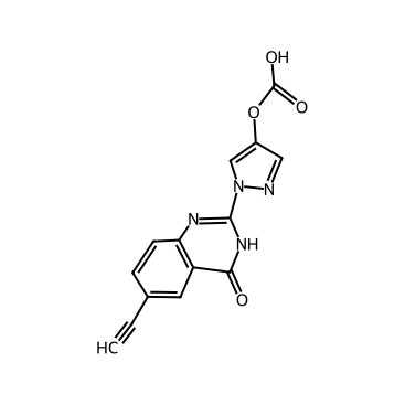 C#Cc1ccc2nc(-n3cc(OC(=O)O)cn3)[nH]c(=O)c2c1